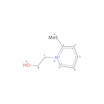 [CH2]Sc1cccc[n+]1CCO